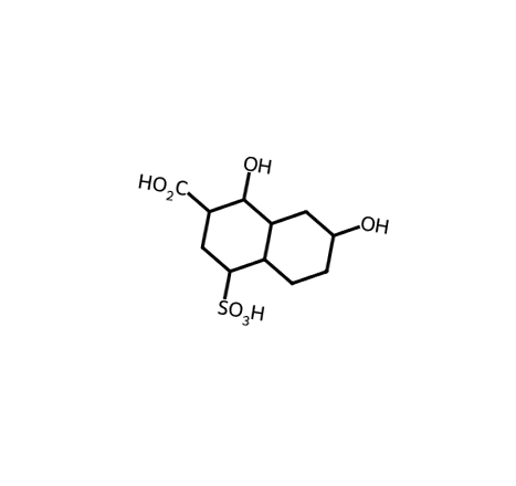 O=C(O)C1CC(S(=O)(=O)O)C2CCC(O)CC2C1O